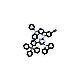 N#Cc1ccc2c(c1)c1ccc3c(c4ccccc4n3-c3ccccc3)c1n2-c1nc(-c2cccc([Si](c3ccccc3)(c3ccccc3)c3ccccc3)c2)cc(-n2c3ccccc3c3ccccc32)n1